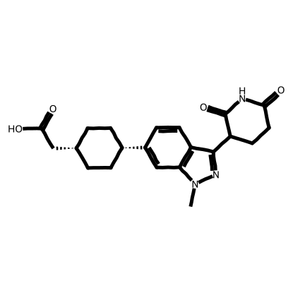 Cn1nc(C2CCC(=O)NC2=O)c2ccc([C@H]3CC[C@@H](CC(=O)O)CC3)cc21